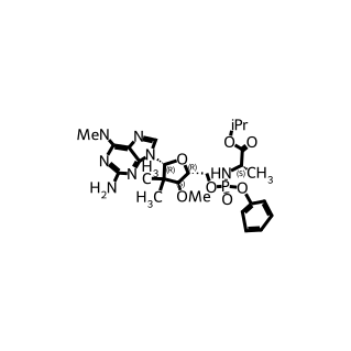 CNc1nc(N)nc2c1ncn2[C@@H]1O[C@H](COP(=O)(N[C@@H](C)C(=O)OC(C)C)Oc2ccccc2)[C@@H](OC)C1(C)C